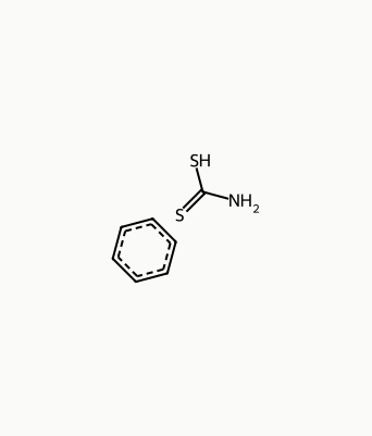 NC(=S)S.c1ccccc1